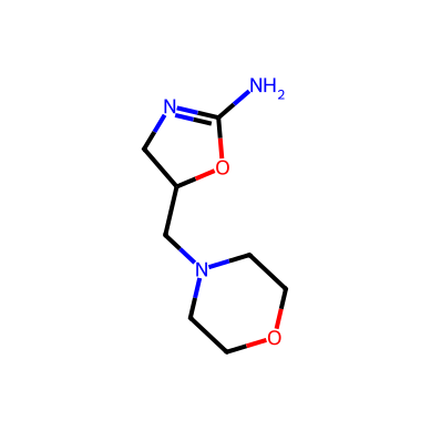 NC1=NCC(CN2CCOCC2)O1